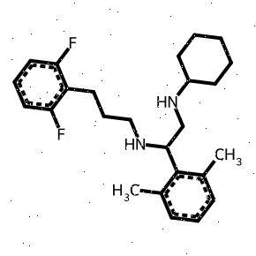 Cc1cccc(C)c1C(CNC1CCCCC1)NCCCc1c(F)cccc1F